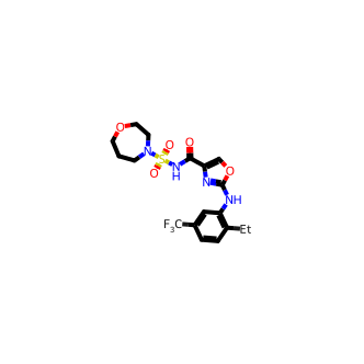 CCc1ccc(C(F)(F)F)cc1Nc1nc(C(=O)NS(=O)(=O)N2CCCOCC2)co1